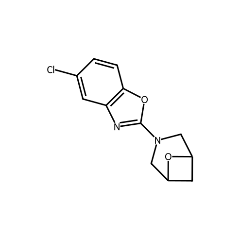 Clc1ccc2oc(N3CC4CC(C3)O4)nc2c1